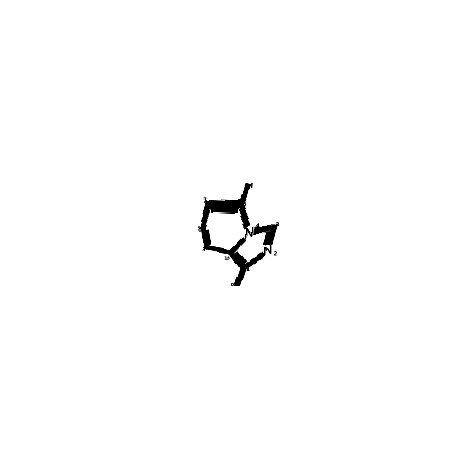 Cc1ncn2c(C)cccc12